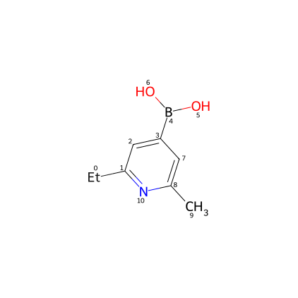 CCc1cc(B(O)O)cc(C)n1